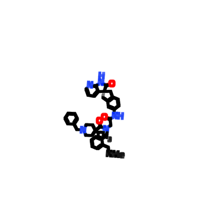 CNCc1ccccc1CN(CC(=O)Nc1ccc2c(c1)C[C@@]1(C2)C(=O)Nc2ncccc21)C(=O)C1(C)CCN(Cc2ccccc2)CC1